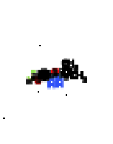 Cc1cc(C)cc(NC(=O)Nc2cccc(OC(F)F)c2)c1